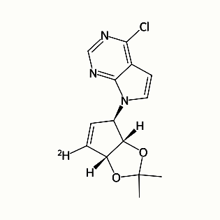 [2H]C1=C[C@@H](n2ccc3c(Cl)ncnc32)[C@@H]2OC(C)(C)O[C@H]12